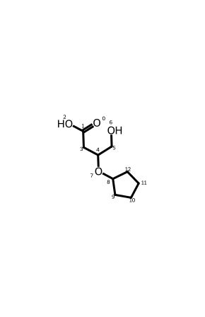 O=C(O)CC(CO)OC1CCCC1